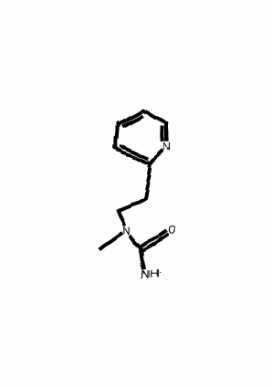 CN(CCc1ccccn1)C([NH])=O